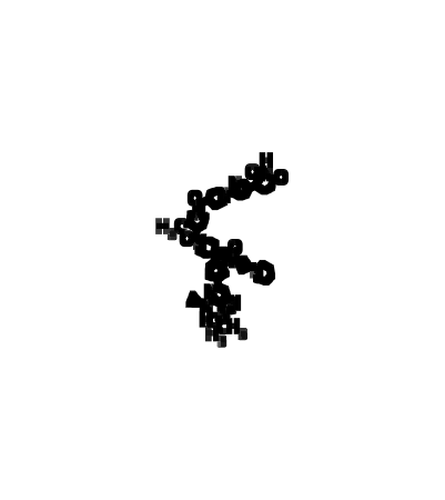 CC1CN(C(=O)C2CCN(c3ccc(C4CCC(=O)NC4=O)cn3)CC2)CCC1C(=O)N1CCC(C)(c2ccc(-c3cc4ncn(C(C)C)c4c(NC4CC4)n3)cc2N(C=O)C2CC(N3CCCCC3)C2)CC1